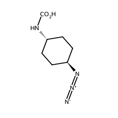 [N-]=[N+]=N[C@H]1CC[C@H](NC(=O)O)CC1